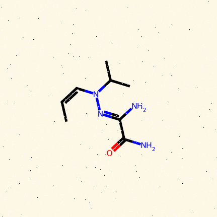 C/C=C\N(/N=C(\N)C(N)=O)C(C)C